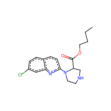 CCCCOC(=O)C1CNCCN1c1ccc2ccc(Cl)cc2n1